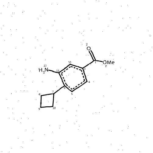 COC(=O)c1ccc(C2CCC2)c(N)c1